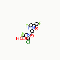 O=C(Nc1ccc(C(=O)N2CCC(F)(F)[C@](O)(CO)c3cc(Cl)ccc32)cc1)c1cc(F)ccc1-c1ccc(F)cc1